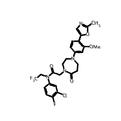 COc1cc(N2CCC(=O)N(CC(=O)N(CC(F)(F)F)c3ccc(F)c(Cl)c3)CC2)ccc1-c1cnc(C)o1